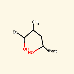 CCCC(C)C(O)CC(C)C(O)CC